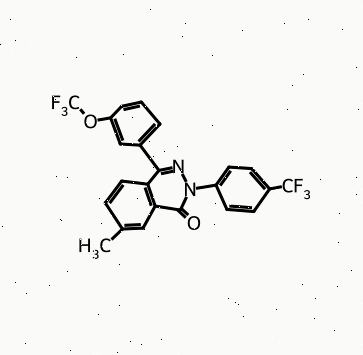 Cc1ccc2c(-c3cccc(OC(F)(F)F)c3)nn(-c3ccc(C(F)(F)F)cc3)c(=O)c2c1